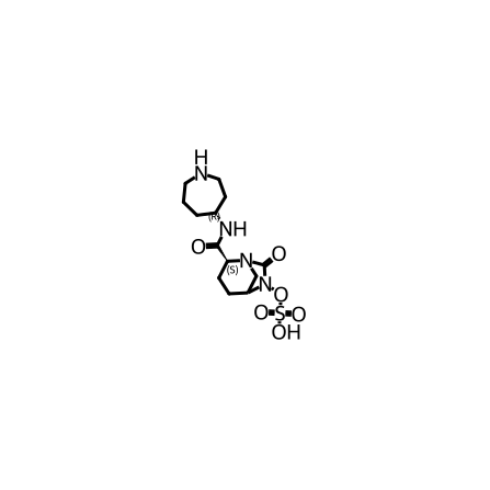 O=C(N[C@@H]1CCCNCC1)[C@@H]1CCC2CN1C(=O)N2OS(=O)(=O)O